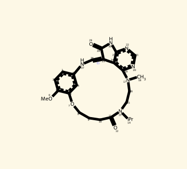 COc1ccc2cc1OCCCC(=O)N(C(C)C)CCN(C)c1ncnc3c1/C(=C\N2)C(=O)N3